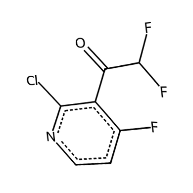 O=C(c1c(F)ccnc1Cl)C(F)F